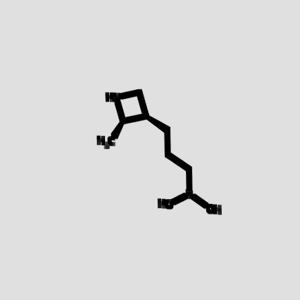 C[C@H]1NC[C@H]1CCCB(O)O